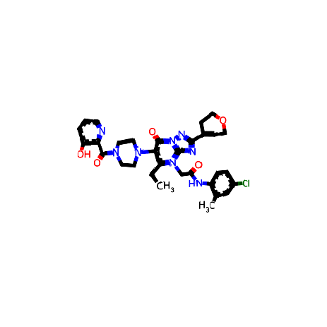 CCc1c(N2CCN(C(=O)c3ncccc3O)CC2)c(=O)n2nc(C3=CCOCC3)nc2n1CC(=O)Nc1ccc(Cl)cc1C